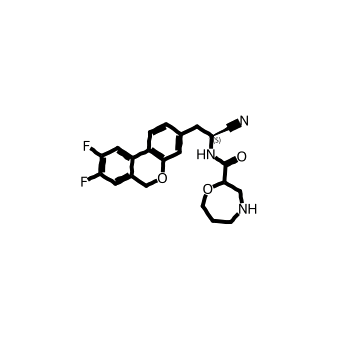 N#C[C@H](Cc1ccc2c(c1)OCc1cc(F)c(F)cc1-2)NC(=O)C1CNCCCO1